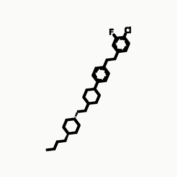 CCCC[C@H]1CC[C@H](CCC2CCC(c3ccc(CCc4ccc(Cl)c(F)c4)cc3)CC2)CC1